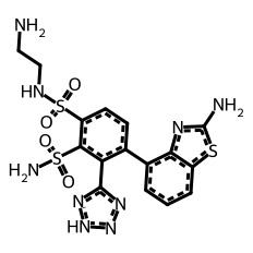 NCCNS(=O)(=O)c1ccc(-c2cccc3sc(N)nc23)c(-c2nn[nH]n2)c1S(N)(=O)=O